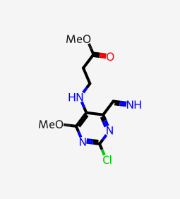 COC(=O)CCNc1c(C=N)nc(Cl)nc1OC